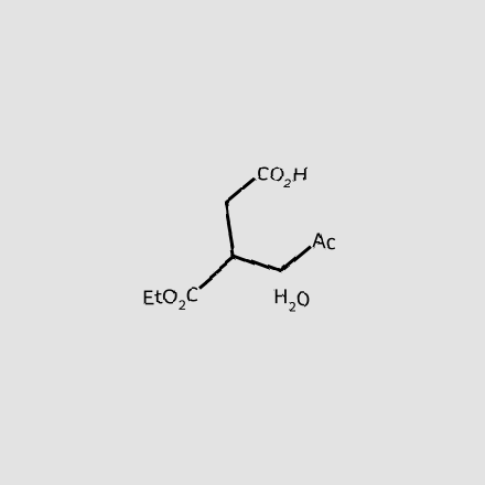 CCOC(=O)C(CC(C)=O)CC(=O)O.O